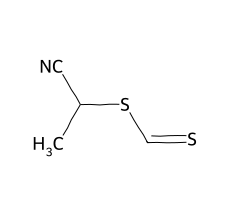 CC(C#N)SC=S